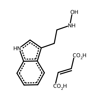 O=C(O)C=CC(=O)O.ONCCc1c[nH]c2ccccc12